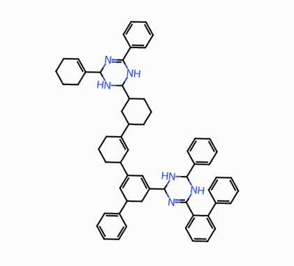 C1=C(C2C=C(C3CCCC(C4NC(c5ccccc5)=NC(C5=CCCCC5)N4)C3)CCC2)C=C(C2N=C(c3ccccc3-c3ccccc3)NC(c3ccccc3)N2)CC1c1ccccc1